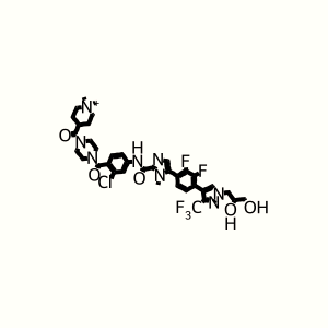 Cn1c(-c2ccc(-c3cn(CC(O)CO)nc3C(F)(F)F)c(F)c2F)cnc1C(=O)Nc1ccc(C(=O)N2CCN(C(=O)C3CC[N+](C)(C)CC3)CC2)c(Cl)c1